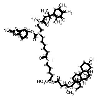 CC1=C(C)C(=O)C(C)=C(C(C)(C)CC(=O)N(C)CCN(CCCCCC(=O)NCCCCC(NC(=O)CC[C@@H](C)[C@H]2CC[C@H]3[C@@H]4CC[C@@H]5C[C@H](O)CC[C@]5(C)[C@H]4CC[C@]23C)C(=O)O)C(=O)Oc2ccc3nc(C#N)sc3c2)C1